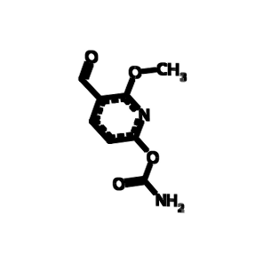 COc1nc(OC(N)=O)ccc1C=O